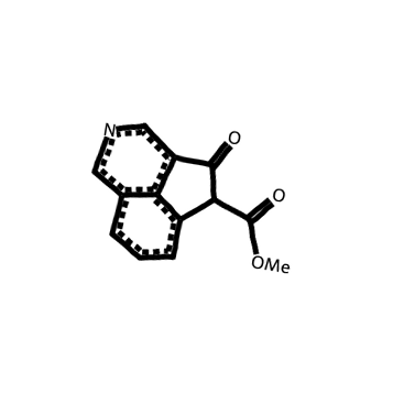 COC(=O)C1C(=O)c2cncc3cccc1c23